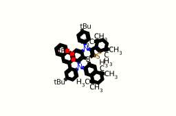 CC(C)(C)c1ccc(N2c3cc(C(C)(C)C)cc4c3B(c3cc5c(cc3N4C3=CCC(C(C)(C)C)C=C3c3ccc4ccccc4c3)C(C)(C)CCC5(C)C)c3sc4c(c32)C(C)(C)CCC4(C)C)cc1